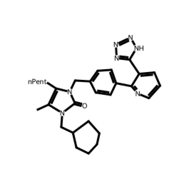 CCCCCc1c(C)n(CC2CCCCC2)c(=O)n1Cc1ccc(-c2ncccc2-c2nnn[nH]2)cc1